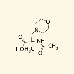 CC(=O)NC(C)(CN1CCOCC1)C(=O)O